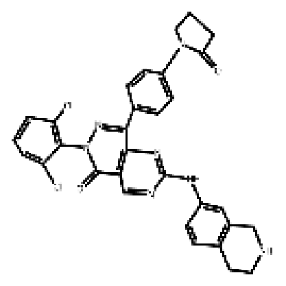 O=C1CCCN1c1ccc(-c2nn(-c3c(Cl)cccc3Cl)c(=O)c3cnc(Nc4ccc5c(c4)CNCC5)nc23)cc1